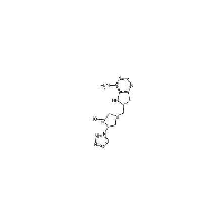 Nc1ncnc2c1NC(CN1CC(n3ccnn3)[C@@H](O)C1)C2